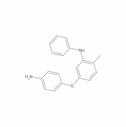 Cc1ccc(Oc2ccc(N)cc2)cc1Nc1ccccc1